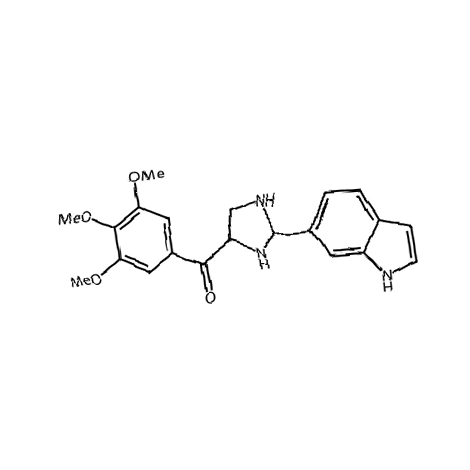 COc1cc(C(=O)C2CNC(c3ccc4cc[nH]c4c3)N2)cc(OC)c1OC